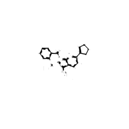 COc1ccccc1C(=O)n1nc(N)c2ccc(C3=CCCC3)nc21